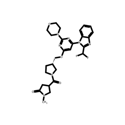 CN1CC(C(=O)N2CC[C@H](COc3cc(-n4c(C(F)F)nc5ccccc54)nc(N4CCOCC4)n3)C2)CC1=O